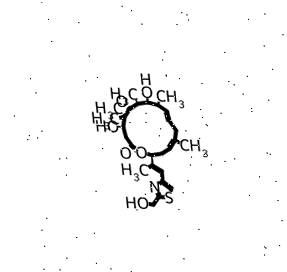 C/C1=C/C[C@@H](/C(C)=C/c2csc(CO)n2)OC(=O)C[C@H](O)C(C)(C)C(=O)[C@H](C)[C@@H](O)[C@@H](C)/C=C/C1